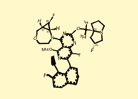 [2H]C([2H])(Oc1nc(N2CCOC[C@@H]3[C@@H](F)[C@@H]32)c2c(OC)nc(-c3cccc4ccc(F)c(C#C)c34)c(F)c2n1)[C@@]12CCCN1C[C@H](F)C2